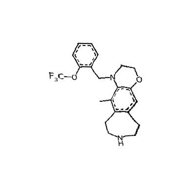 Cc1c2c(cc3c1N(Cc1ccccc1OC(F)(F)F)CCO3)CCNCC2